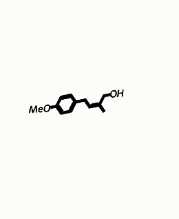 COc1ccc(CC=C(C)CO)cc1